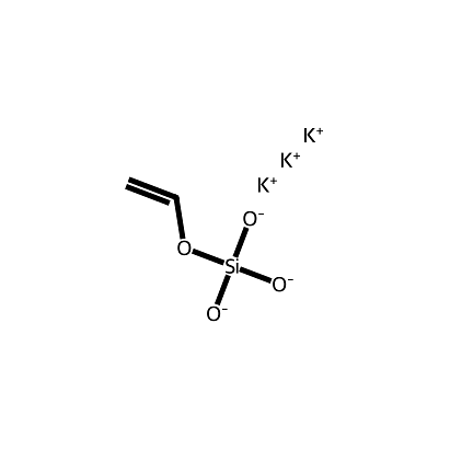 C=CO[Si]([O-])([O-])[O-].[K+].[K+].[K+]